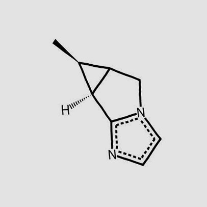 C[C@H]1C2Cn3ccnc3[C@H]21